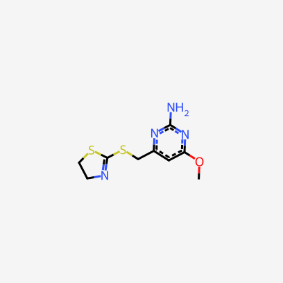 COc1cc(CSC2=NCCS2)nc(N)n1